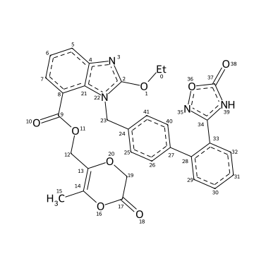 CCOc1nc2cccc(C(=O)OCC3=C(C)OC(=O)CO3)c2n1Cc1ccc(-c2ccccc2-c2noc(=O)[nH]2)cc1